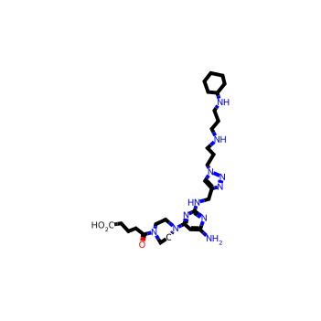 Nc1cc(N2CCN(C(=O)CCCC(=O)O)CC2)nc(NCc2cn(CCCNCCCNC3CCCCC3)nn2)n1